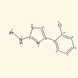 CC(C)Nc1nc(-c2ccccc2Cl)cs1